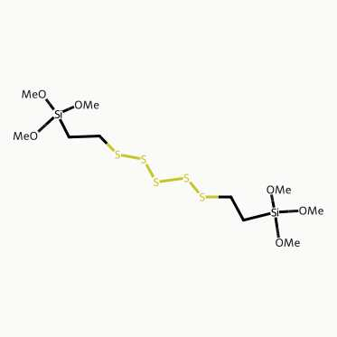 CO[Si](CCSSSSSCC[Si](OC)(OC)OC)(OC)OC